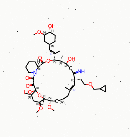 CO[C@H]1C[C@@H](C)C/C(C)=C/[C@@H](CCOCC2CC2)C(=N)C[C@H](O)[C@@H](C)[C@@H](/C(C)=C/[C@@H]2CC[C@@H](O)[C@H](OC)C2)OC(=O)[C@@H]2CCCCN2C(=O)C(=O)[C@]2(O)O[C@H]1[C@@H](OC)C[C@H]2C